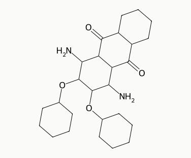 NC1C(OC2CCCCC2)C(OC2CCCCC2)C(N)C2C(=O)C3CCCCC3C(=O)C12